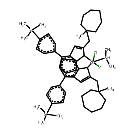 C[SiH](C)[Zr]([Cl])([Cl])([CH]1C(CC2(C)CCCCCC2)=Cc2c(-c3ccc([Si](C)(C)C)cc3)cccc21)[CH]1C(CC2(C)CCCCCC2)=Cc2c(-c3ccc([Si](C)(C)C)cc3)cccc21